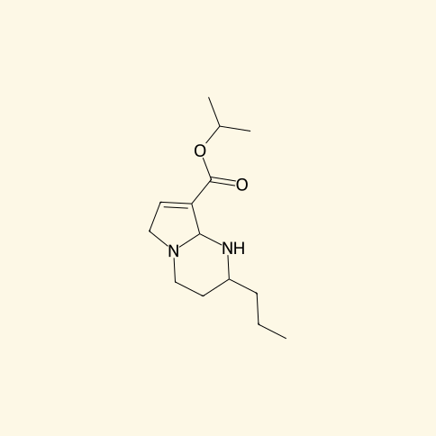 CCCC1CCN2CC=C(C(=O)OC(C)C)C2N1